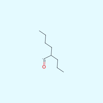 CCCCC([C]=O)CCC